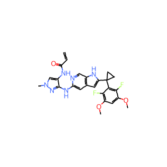 C=CC(=O)Nc1cn(C)nc1Nc1cc2cc(C3(c4c(F)c(OC)cc(OC)c4F)CC3)[nH]c2cn1